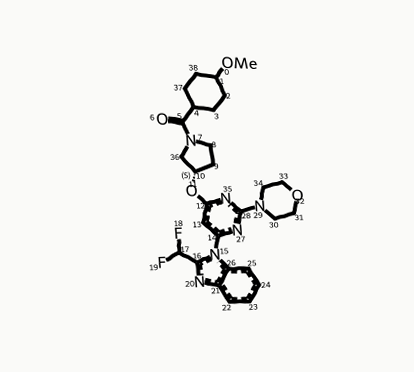 COC1CCC(C(=O)N2CC[C@H](Oc3cc(-n4c(C(F)F)nc5ccccc54)nc(N4CCOCC4)n3)C2)CC1